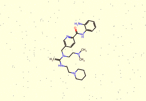 C=C(NCCN1CCCCC1)N(CCN(C)C)Cc1ccc(C(=O)Nc2ccccc2N)nc1